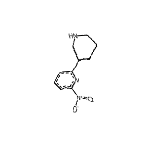 O=[N+]([O-])c1cccc(C2CCCNC2)n1